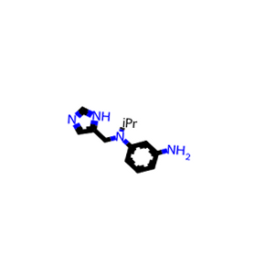 CC(C)N(Cc1cnc[nH]1)c1cccc(N)c1